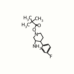 CC(C)(C)C(=O)ON1CCC(c2ccc(F)cc2)C(N)C1